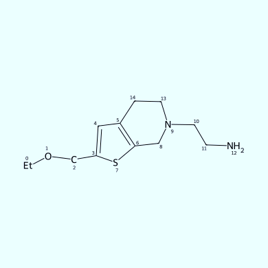 CCOCc1cc2c(s1)CN(CCN)CC2